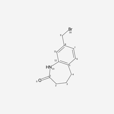 O=C1CCCc2ccc(CBr)cc2N1